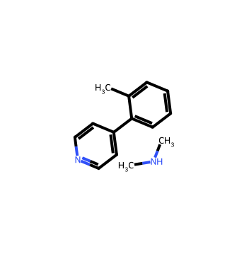 CNC.Cc1ccccc1-c1ccncc1